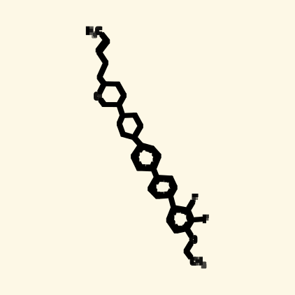 C/C=C/CCC1CCC(C2CCC(c3ccc(-c4ccc(-c5ccc(OCC)c(F)c5F)cc4)cc3)CC2)CO1